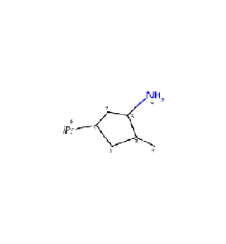 CC(C)C1CC(C)C(N)C1